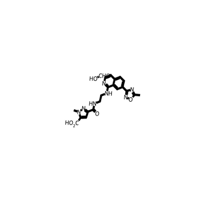 Cc1nc(-c2ccc3ccnc(NCCNC(=O)c4cc(C(=O)O)n(C)n4)c3c2)no1.O=CO